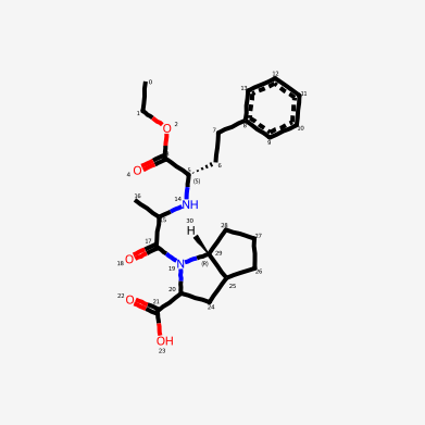 CCOC(=O)[C@H](CCc1ccccc1)NC(C)C(=O)N1C(C(=O)O)CC2CCC[C@H]21